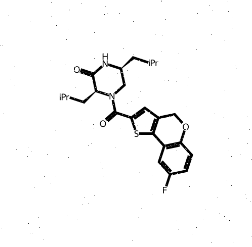 CC(C)C[C@H]1CN(C(=O)c2cc3c(s2)-c2cc(F)ccc2OC3)[C@@H](CC(C)C)C(=O)N1